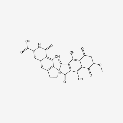 COC1CC(=O)c2c(O)c3c(c(O)c2C1=O)C(=O)[C@]1(CCc2cc4cc(C(=O)O)[nH]c(=O)c4c(O)c21)C3=O